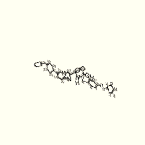 O=C(NC(Cc1ccc(OCc2ccccc2)cc1)C(=O)O)c1cn2cc(-c3ccc(Cl)cc3)ccc2n1